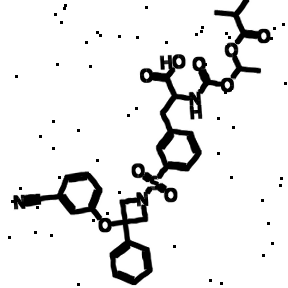 CC(OC(=O)NC(Cc1cccc(S(=O)(=O)N2CC(Oc3cccc(C#N)c3)(c3ccccc3)C2)c1)C(=O)O)OC(=O)C(C)C